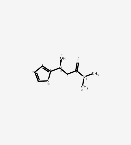 CN(C)C(=O)C[C@H](O)c1cccs1